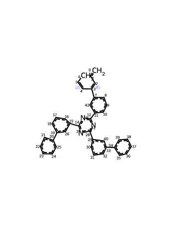 C=C/C=C(\C=C/C)c1cccc(-c2nc(-c3cccc(-c4ccccc4)c3)nc(-c3cccc(-c4ccccc4)c3)n2)c1